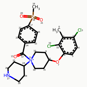 Cc1c(Cl)ccc(OC2CC[N+](C(=O)c3ccc(S(C)(=O)=O)cc3)(C3CCNCC3)CC2)c1Cl